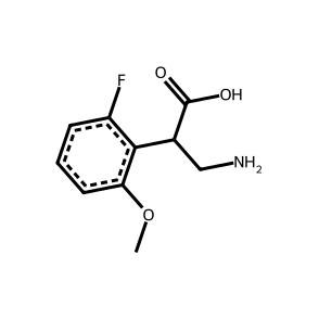 COc1cccc(F)c1C(CN)C(=O)O